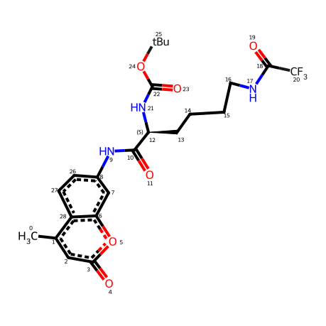 Cc1cc(=O)oc2cc(NC(=O)[C@H](CCCCNC(=O)C(F)(F)F)NC(=O)OC(C)(C)C)ccc12